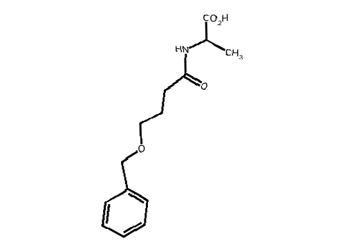 CC(NC(=O)CCCOCc1ccccc1)C(=O)O